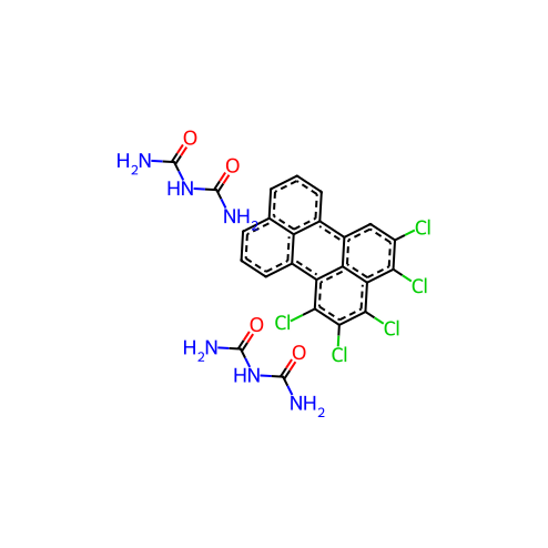 Clc1cc2c3cccc4cccc(c5c(Cl)c(Cl)c(Cl)c(c1Cl)c25)c43.NC(=O)NC(N)=O.NC(=O)NC(N)=O